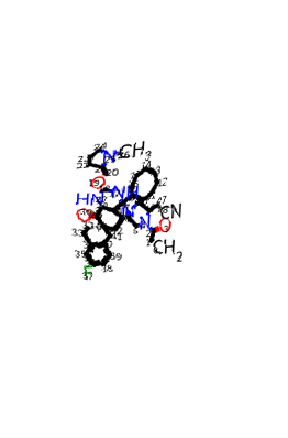 C=CC(=O)N1CCN(C2(C3CCCCCCC3)NC(OCC3CCCN3C)NC3C(=O)[C@@]4(CCc5cc(F)ccc5C4)CCC32)CC1CC#N